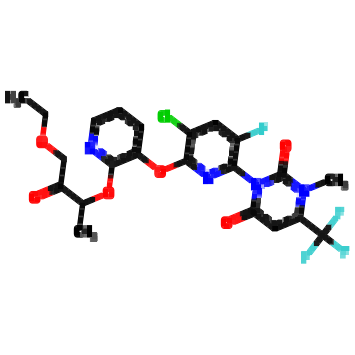 CCOCC(=O)C(C)Oc1ncccc1Oc1nc(-n2c(=O)cc(C(F)(F)F)n(C)c2=O)c(F)cc1Cl